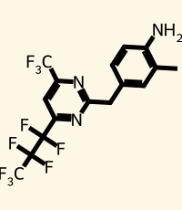 Cc1cc(Cc2nc(C(F)(F)F)cc(C(F)(F)C(F)(F)C(F)(F)F)n2)ccc1N